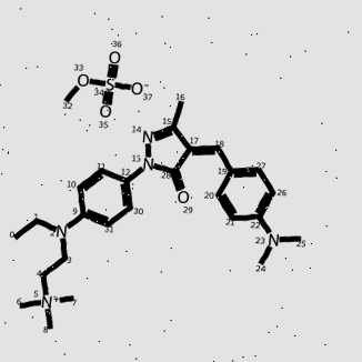 CCN(CC[N+](C)(C)C)c1ccc(N2N=C(C)C(=Cc3ccc(N(C)C)cc3)C2=O)cc1.COS(=O)(=O)[O-]